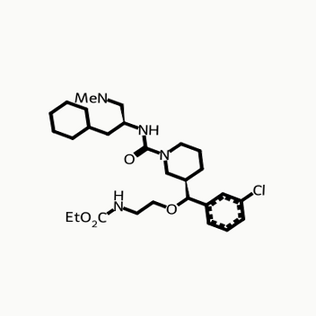 CCOC(=O)NCCOC(c1cccc(Cl)c1)[C@@H]1CCCN(C(=O)N[C@H](CNC)CC2CCCCC2)C1